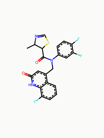 CC1N=CSC1C(=O)N(Cc1cc(=O)[nH]c2c(F)cccc12)c1ccc(F)c(F)c1